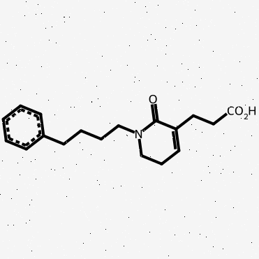 O=C(O)CCC1=CCCN(CCCCc2ccccc2)C1=O